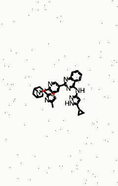 Cc1csc(CN2C3CC2CN(c2ccc(-c4nc(Nc5cc(C6CC6)[nH]n5)c5ccccc5n4)cn2)C3)n1